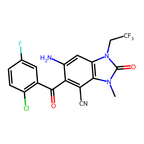 Cn1c(=O)n(CC(F)(F)F)c2cc(N)c(C(=O)c3cc(F)ccc3Cl)c(C#N)c21